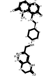 C=C(/C=C1/NC(=O)CS/C1=N/N)CN[C@H]1CC[C@H](COc2c(F)cnc3ccc(=O)n(C)c23)CC1